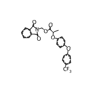 CC(Oc1ccc(Oc2ccc(C(F)(F)F)cc2)cc1)C(=O)OCN1C(=O)c2ccccc2C1=O